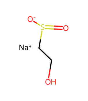 O=S([O-])CCO.[Na+]